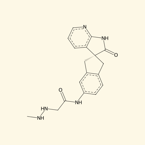 CNNCC(=O)Nc1ccc2c(c1)C[C@@]1(C2)C(=O)Nc2ncccc21